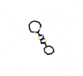 c1c(C2CCCCCCC2)sc2nc(C3CCCCCCCCC3)sc12